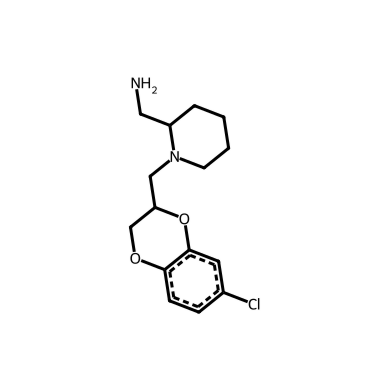 NCC1CCCCN1CC1COc2ccc(Cl)cc2O1